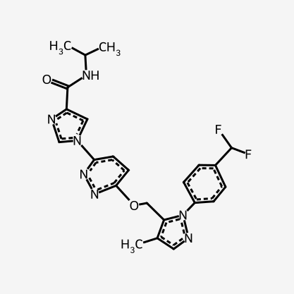 Cc1cnn(-c2ccc(C(F)F)cc2)c1COc1ccc(-n2cnc(C(=O)NC(C)C)c2)nn1